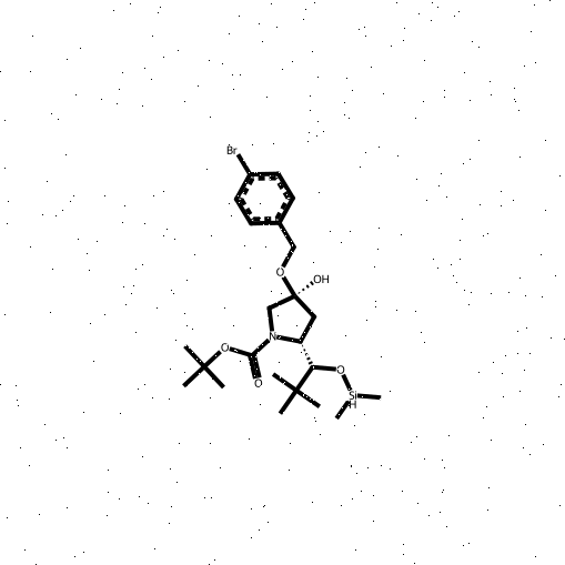 C[SiH](C)OC([C@H]1C[C@](O)(OCc2ccc(Br)cc2)CN1C(=O)OC(C)(C)C)C(C)(C)C